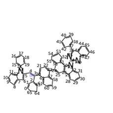 C1=CC(/C(=C\c2cc3ccccc3n2-c2ccccc2)c2ccc(-c3cc4c5ccccc5n(-c5nc(-c6ccccc6)c6ccccc6n5)c4c4ccccc34)c3ccccc23)=CCC1